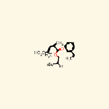 C=C(C=C(C)C(=O)O)C(=O)OCC(CC)CCCC.C=Cc1ccccc1